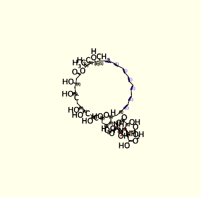 C[C@@H]1[C@H](O)[C@@H](C)/C=C/C=C/C=C/C=C/C=C/C=C/C=C/[C@H](O[C@@H]2O[C@H](C)[C@@H](O)[C@H](N)[C@@H]2O)C[C@@H]2O[C@](O)(C[C@@H](O)C[C@@H](O)[C@H](O)CC[C@@H](O)C[C@@H](O)CC(=O)O[C@H]1C)C[C@H](O)[C@H]2NC(=O)N1CC(C(=O)O)=C(C(=O)O)C1